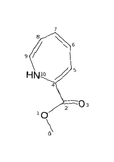 COC(=O)C1=CC=CC=CN1